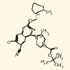 C[C@H]1CN(C(=O)OC(C)(C)C)CCN1c1nc(OC[C@@H]2CCCN2C)nc2cc(Cl)c(C#N)cc12